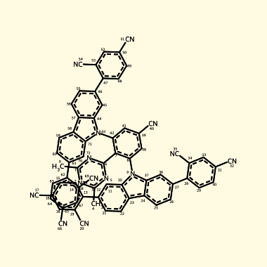 Cc1nc(C)nc(-c2c(-n3c4cc(-c5ccc(C#N)cc5C#N)ccc4c4ccc(-c5ccc(C#N)cc5C#N)cc43)cc(C#N)cc2-n2c3cc(-c4ccc(C#N)cc4C#N)ccc3c3ccc(-c4ccc(C#N)cc4C#N)cc32)n1